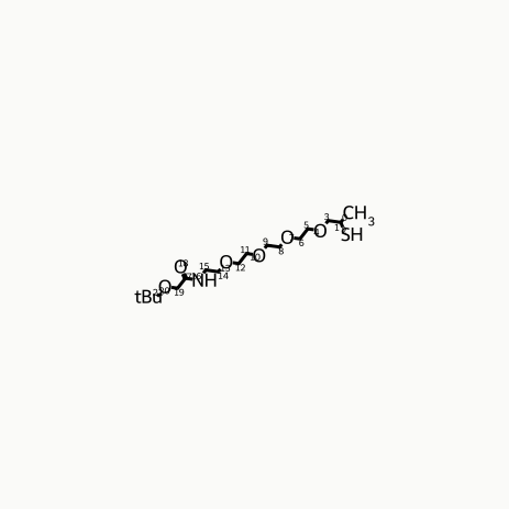 CC(S)COCCOCCOCCOCCNC(=O)COC(C)(C)C